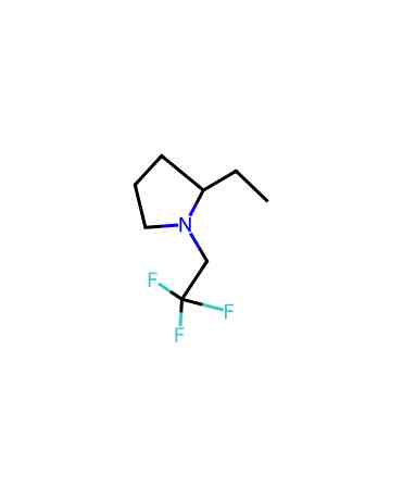 CCC1CCCN1CC(F)(F)F